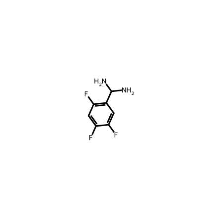 NC(N)c1cc(F)c(F)cc1F